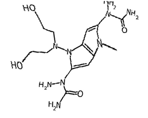 Cn1c(N(N)C(N)=O)cc2c1cc(N(N)C(N)=O)n2N(CCO)CCO